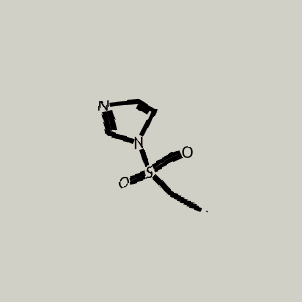 [CH2]CS(=O)(=O)n1ccnc1